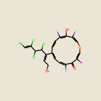 O=c1c(I)ccc(/C(=C\CO)C(Cl)C(Cl)/C(Cl)=C/Cl)ccc(I)c(O)c(I)cocc1I